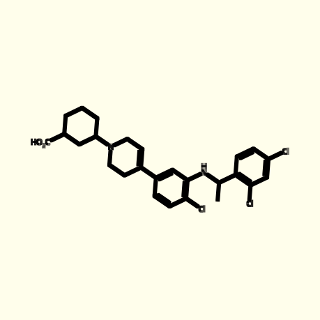 CC(Nc1cc(C2=CCN(C3CCCC(C(=O)O)C3)CC2)ccc1Cl)c1ccc(Cl)cc1Cl